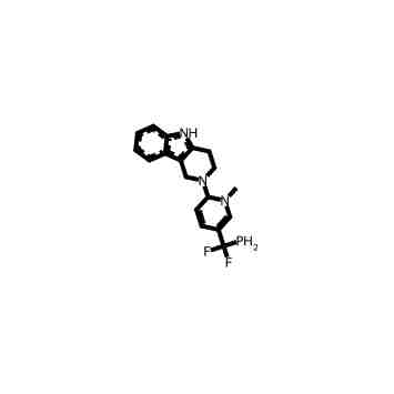 CN1C=C(C(F)(F)P)C=CC1N1CCc2[nH]c3ccccc3c2C1